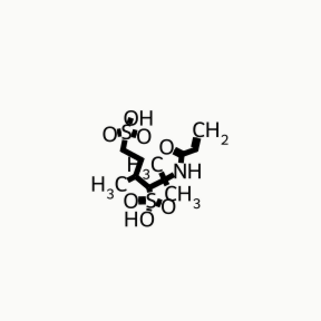 C=CC(=O)NC(C)(C)C(C(C)CCS(=O)(=O)O)S(=O)(=O)O